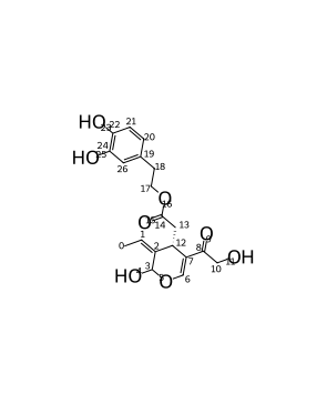 C/C=C1\C(O)OC=C(C(=O)CO)[C@H]1CC(=O)OCCc1ccc(O)c(O)c1